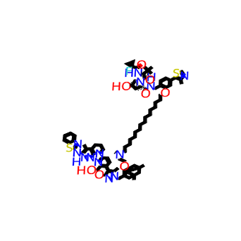 Cc1ncsc1-c1ccc(CNC(=O)[C@@H]2C[C@@H](O)CN2C(=O)[C@@H](NC(=O)C2(F)CC2)C(C)(C)C)c(OCCCCCCCCCCCCCCCCN(C)CCOC23CC4(C)CC(C)(CC(Cn5ncc(-c6ccc(N7CCCc8c7nnc(Nc7nc9ccccc9s7)c8C)nc6C(=O)O)c5C)(C4)C2)C3)c1